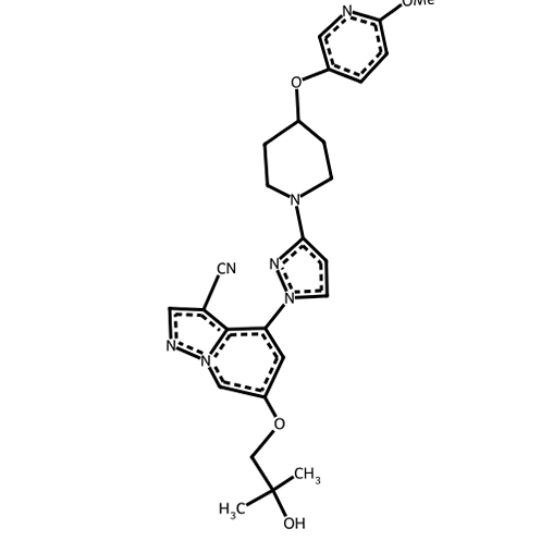 COc1ccc(OC2CCN(c3ccn(-c4cc(OCC(C)(C)O)cn5ncc(C#N)c45)n3)CC2)cn1